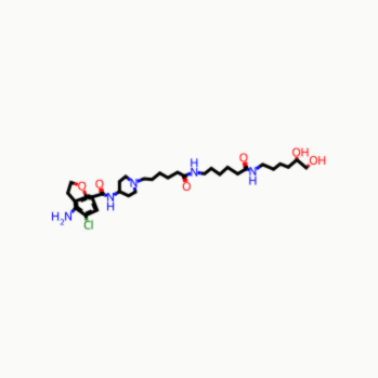 Nc1c(Cl)cc(C(=O)NC2CCN(CCCCCC(=O)NCCCCCC(=O)NCCCCC(O)CO)CC2)c2c1CCO2